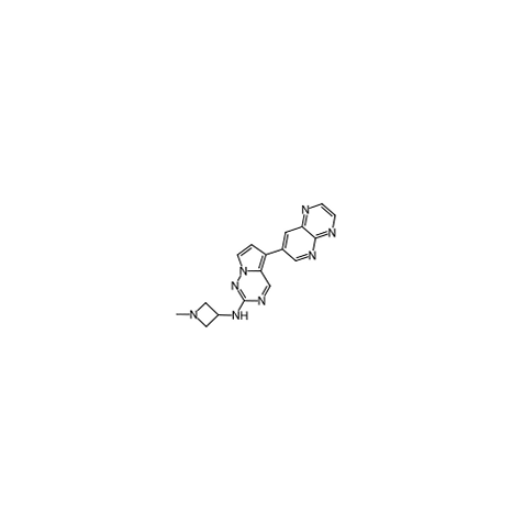 CN1CC(Nc2ncc3c(-c4cnc5nccnc5c4)ccn3n2)C1